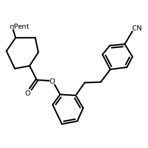 CCCCCC1CCC(C(=O)Oc2ccccc2CCc2ccc(C#N)cc2)CC1